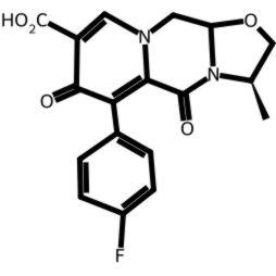 C[C@@H]1COC2Cn3cc(C(=O)O)c(=O)c(-c4ccc(F)cc4)c3C(=O)N21